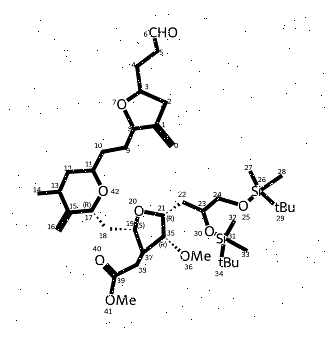 C=C1CC(CCC=O)OC1CCC1CC(C)C(=C)[C@@H](C[C@@H]2O[C@H](CC(CO[Si](C)(C)C(C)(C)C)O[Si](C)(C)C(C)(C)C)[C@H](OC)C2CC(=O)OC)O1